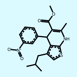 COC(=O)C1=C(C)Nc2scc(CC(C)C)c2C1c1cccc([N+](=O)[O-])c1